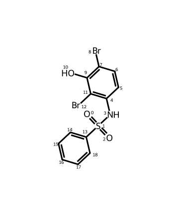 O=S(=O)(Nc1ccc(Br)c(O)c1Br)c1ccccc1